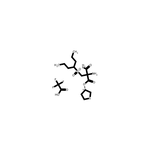 CCCC(CCC)S(=O)(=O)CC(N)(C(N)=O)C(=O)O[C@H]1CCSC1.O=C(O)C(F)(F)F